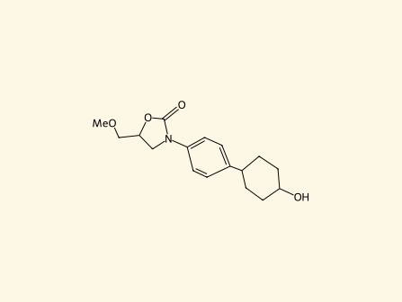 COCC1CN(c2ccc(C3CCC(O)CC3)cc2)C(=O)O1